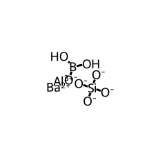 [Al+3].[Ba+2].[O-]B(O)O.[O-][Si]([O-])([O-])[O-]